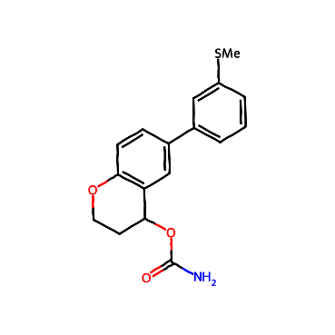 CSc1cccc(-c2ccc3c(c2)C(OC(N)=O)CCO3)c1